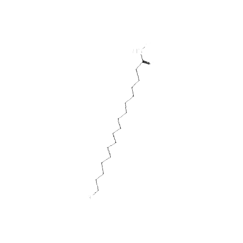 O=C(CCCCCCCCCCCCCCCCBr)NO